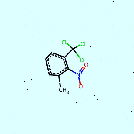 Cc1cccc(C(Cl)(Cl)Cl)c1[N+](=O)[O-]